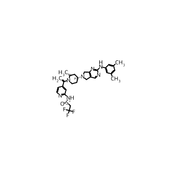 C=C(c1ccnc(N[S+]([O-])CC(F)(F)F)c1)N1CC[C@@H](N2Cc3cnc(Nc4cc(C)cc(C)c4)nc3C2)C[C@H]1C